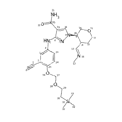 C#Cc1cc(Nc2nn([C@H]3COCCC3C=NC)cc2C(N)=O)ccc1OCOCC[Si](C)(C)C